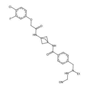 CCN(Cc1ccc(C(=O)NC23CC(NC(=O)COc4ccc(Cl)c(F)c4)(C2)C3)cc1)NCN=O